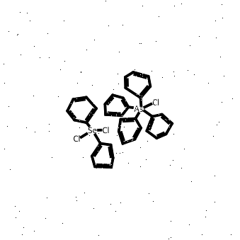 Cl[As](c1ccccc1)(c1ccccc1)(c1ccccc1)c1ccccc1.Cl[Se](Cl)(c1ccccc1)c1ccccc1